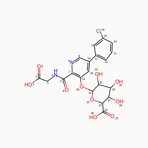 O=C(O)CNC(=O)c1ncc(-c2cccc(Cl)c2)cc1OC1OC(C(=O)O)C(O)C(O)C1O